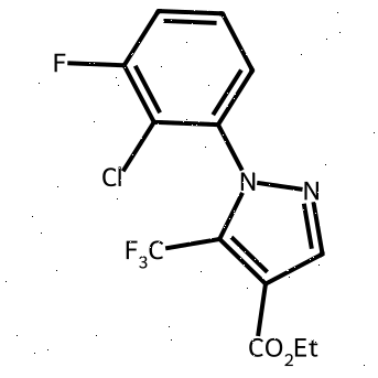 CCOC(=O)c1cnn(-c2cccc(F)c2Cl)c1C(F)(F)F